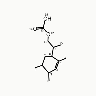 CC1=CC(C)C(C)CC1C(C)COC(=O)O